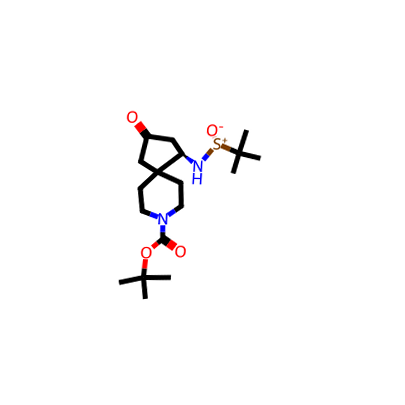 CC(C)(C)OC(=O)N1CCC2(CC1)CC(=O)C[C@H]2N[S+]([O-])C(C)(C)C